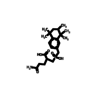 CC1CC(C)(C)c2ccc(CP(=O)(O)CC(CCC(N)=O)C(=O)O)cc2C1(C)C